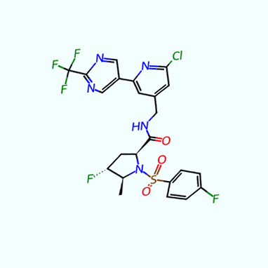 C[C@H]1[C@H](F)C[C@@H](C(=O)NCc2cc(Cl)nc(-c3cnc(C(F)(F)F)nc3)c2)N1S(=O)(=O)c1ccc(F)cc1